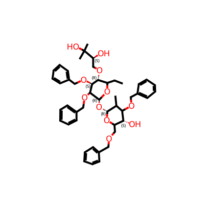 CCC1O[C@H](O[C@H]2OC(COCc3ccccc3)[C@@H](O)C(OCc3ccccc3)C2C)C(OCc2ccccc2)[C@@H](OCc2ccccc2)[C@@H]1OC[C@H](O)C(C)(C)O